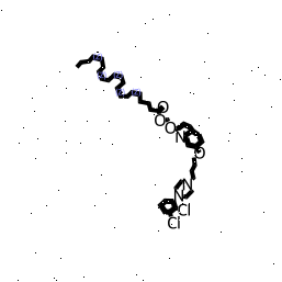 CCC/C=C\C/C=C\C/C=C\C/C=C\C/C=C\CCCC(=O)OCOc1ccc2ccc(OCCCCN3CCN(c4cccc(Cl)c4Cl)CC3)cc2n1